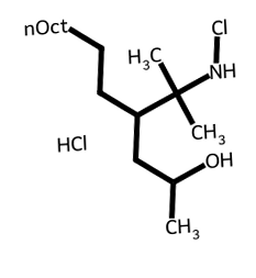 CCCCCCCCCCC(CC(C)O)C(C)(C)NCl.Cl